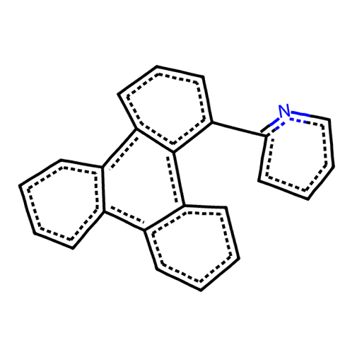 c1ccc(-c2cccc3c4ccccc4c4ccccc4c23)nc1